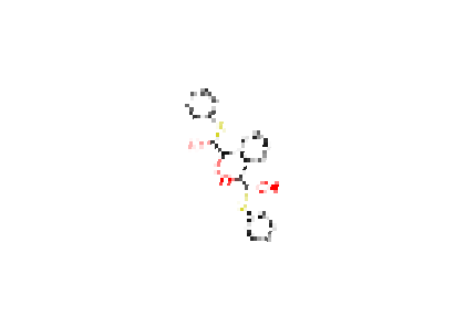 O=C(c1ccccc1C(=O)C(O)Sc1ccccc1)C(O)Sc1ccccc1